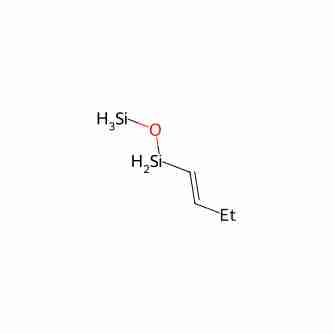 CCC=C[SiH2]O[SiH3]